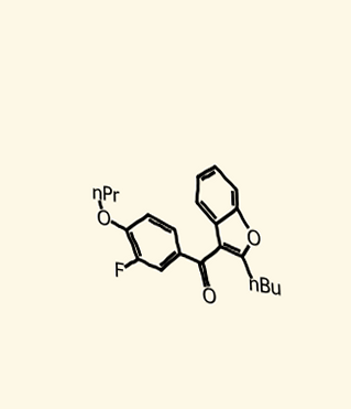 CCCCc1oc2ccccc2c1C(=O)c1ccc(OCCC)c(F)c1